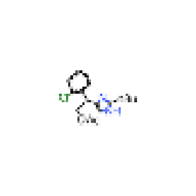 CCCCc1nc([C@@H](COC(C)=O)c2ccccc2Cl)c[nH]1